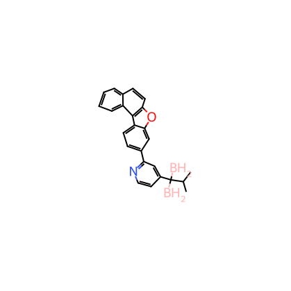 BC(B)(c1ccnc(-c2ccc3c(c2)oc2ccc4ccccc4c23)c1)C(C)C